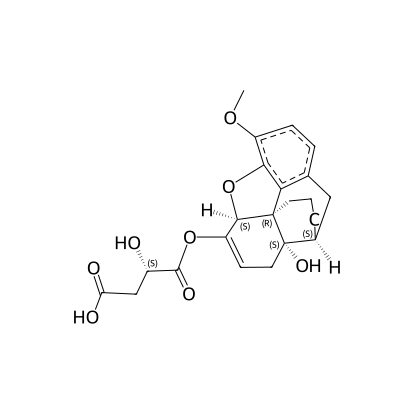 COc1ccc2c3c1O[C@@H]1C(OC(=O)[C@@H](O)CC(=O)O)=CC[C@]4(O)[C@@H](CCC[C@@]314)C2